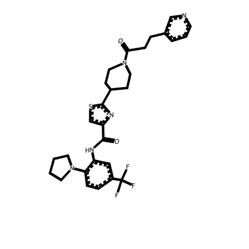 O=C(Nc1cc(C(F)(F)F)ccc1N1CCCC1)c1csc(C2CCN(C(=O)CCc3cccnc3)CC2)n1